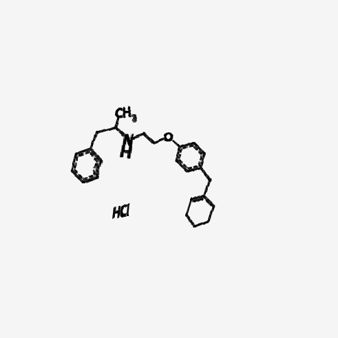 CC(Cc1ccccc1)NCCOc1ccc(CC2=CCCCC2)cc1.Cl